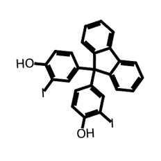 Oc1ccc(C2(c3ccc(O)c(I)c3)c3ccccc3-c3ccccc32)cc1I